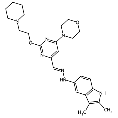 Cc1[nH]c2ccc(NN=Cc3cc(N4CCOCC4)nc(OCCN4CCCCC4)n3)cc2c1C